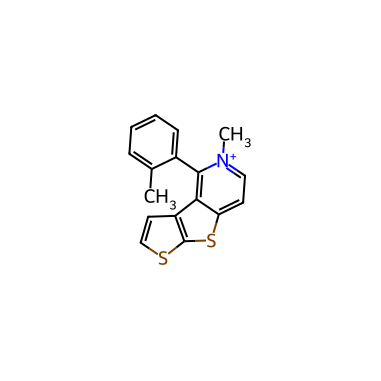 Cc1ccccc1-c1c2c(cc[n+]1C)sc1sccc12